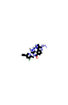 C#Cc1cnc(CN(C(=O)c2ccc3nc(N)c4cnn(C)c4c3c2)c2cnn(C)c2)c(F)c1